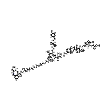 O=C(O)CCC(NP(=O)(O)OCCC[C@H](NC(=O)CC[C@H](NC(=O)CCCCCNC(=O)CCC(NC(=O)CCOCCOCCOCCOCCNC(=O)CCC(=O)N1Cc2ccccc2/C=C\c2ccccc21)C(=O)NC(CCCCNC(=O)CCCc1ccc(I)cc1)C(=O)O)C(=O)O)C(=O)O)C(=O)O